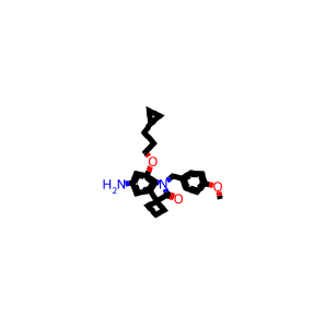 COc1ccc(CN2C(=O)C3(CCC3)c3cc(N)cc(OCCCC4CC4)c32)cc1